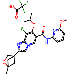 COc1cccc(NC(=O)c2cn3cc(C45COC(C)(C4)C5)nc3c(F)c2OC(C)C)n1.O=C(O)C(F)(F)F